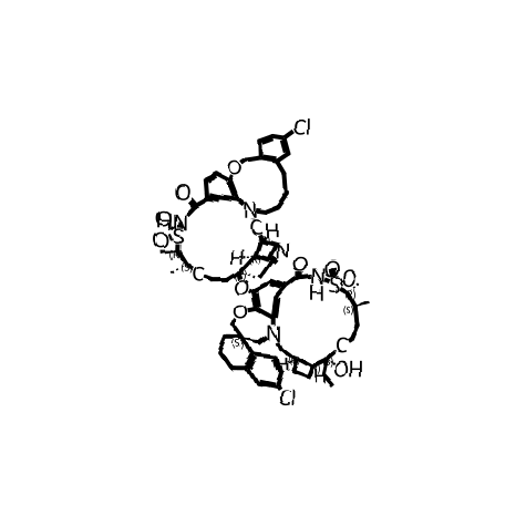 CC[C@]1(O)CCC[C@H](C)[C@@H](C)S(=O)(=O)NC(=O)c2cc(O[C@@]3(CC#N)CCC[C@H](C)[C@@H](C)S(=O)(=O)NC(=O)c4ccc5c(c4)N(CCCCc4cc(Cl)ccc4CO5)C[C@@H]4CC[C@H]43)c3c(c2)N(C[C@@H]2CC[C@H]21)C[C@@]1(CCCc2cc(Cl)ccc21)CO3